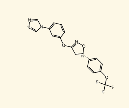 FC(F)(F)Oc1ccc([C@@H]2CC(Oc3cccc(-n4cnnc4)c3)=NO2)cc1